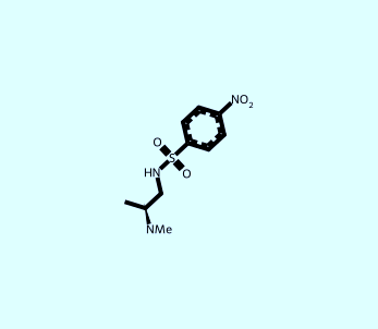 CN[C@@H](C)CNS(=O)(=O)c1ccc([N+](=O)[O-])cc1